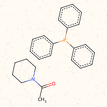 CC(=O)N1CCCCC1.c1ccc(P(c2ccccc2)c2ccccc2)cc1